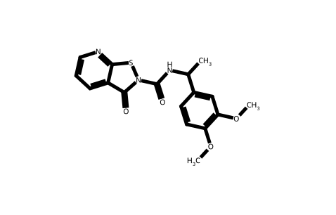 COc1ccc(C(C)NC(=O)n2sc3ncccc3c2=O)cc1OC